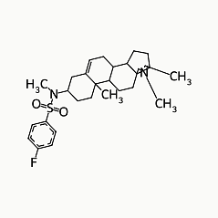 CC1C2CCC3C4CC=C5CC(N(C)S(=O)(=O)c6ccc(F)cc6)CCC5(C)C4CCC32CN1C